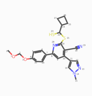 COCOc1ccc(-c2cc(-c3cnn(C)c3)c(C#N)c(SC(S)C3CCC3)n2)cc1